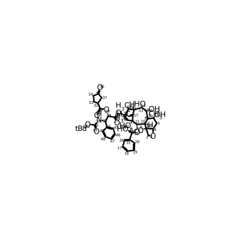 CC(=O)O[C@]12COC1C[C@@H](O)[C@@]1(C)[C@H]2[C@@H](OC(O)c2ccccc2)[C@@]2(O)C[C@@H](OC(=O)[C@@H](OC(=O)C3CCC(=O)C3)[C@H](NC(=O)OC(C)(C)C)c3ccccc3)C(C)[C@H]([C@H](O)[C@@H]1O)C2(C)C